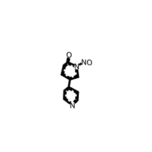 O=Nn1cc(-c2ccncc2)ccc1=O